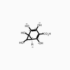 O=C(O)C1=C(O)[C@H]2C(O)C2(O)C(O)=C1O